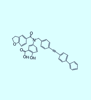 O=C(O)c1cc(N(Cc2ccc(C#Cc3ccc(-c4ccccc4)cc3)cc2)C(=O)c2ccc3c(c2)CCO3)ccc1O